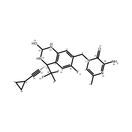 Cc1cn(Cc2cc3c(cc2F)[C@@](C#CC2CC2)(C(C)(F)F)NC(O)N3)c(=O)c(N)n1